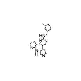 Cc1cccc(CNc2ncc3c(n2)-c2cccnc2Nc2cnccc2-3)c1